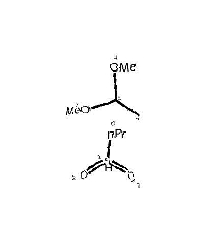 CCC[SH](=O)=O.COC(C)OC